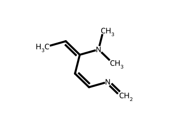 C=N/C=C\C(=C/C)N(C)C